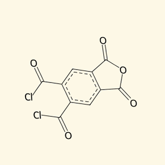 O=C(Cl)c1cc2c(cc1C(=O)Cl)C(=O)OC2=O